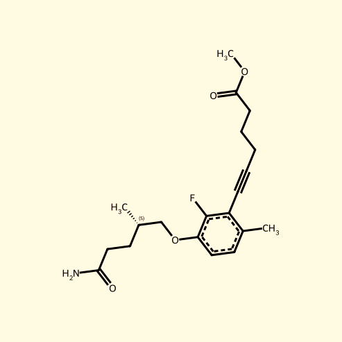 COC(=O)CCCC#Cc1c(C)ccc(OC[C@@H](C)CCC(N)=O)c1F